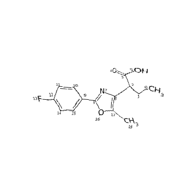 CCC(C(=O)O)c1nc(-c2ccc(F)cc2)oc1C